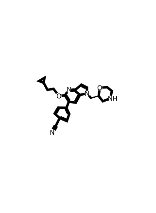 N#Cc1ccc(-c2cc3c(ccn3C[C@@H]3CNCCO3)nc2OCCC2CC2)cc1